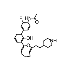 CC(=O)Nc1ccc(-c2cccc(/C3=C/CCC/C=C(\CCC4CCNCC4)O3)c2O)cc1F